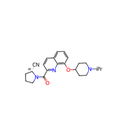 CC(C)N1CCC(Oc2cccc3ccc(C(=O)N4CCC[C@@H]4C#N)nc23)CC1